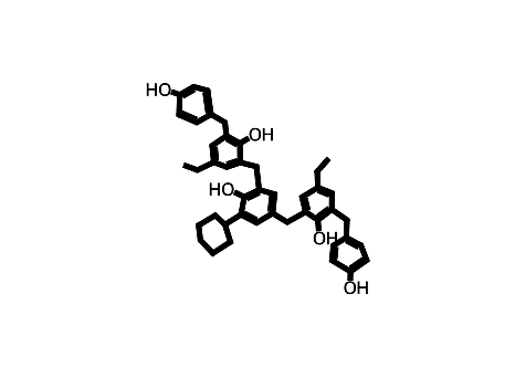 CCc1cc(Cc2ccc(O)cc2)c(O)c(Cc2cc(Cc3cc(CC)cc(Cc4ccc(O)cc4)c3O)c(O)c(C3CCCCC3)c2)c1